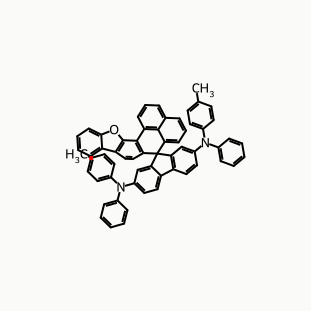 Cc1ccc(N(c2ccccc2)c2ccc3c(c2)C2(c4cc(N(c5ccccc5)c5ccc(C)cc5)ccc4-3)c3ccc4c(oc5ccccc54)c3-c3cccc4cccc2c34)cc1